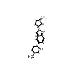 C[C@H]1CC[C@H](c2ccc3nn([C@H]4CCN(C)C4)cc3c2)NC1